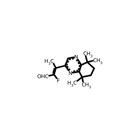 CC(=C(F)C=O)c1cnc2c(n1)C(C)(C)CCC2(C)C